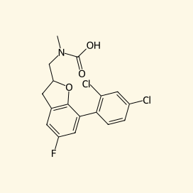 CN(CC1Cc2cc(F)cc(-c3ccc(Cl)cc3Cl)c2O1)C(=O)O